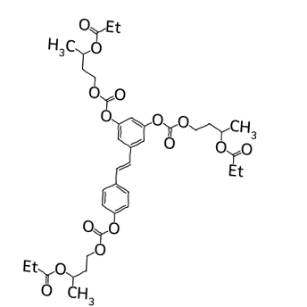 CCC(=O)OC(C)CCOC(=O)Oc1ccc(/C=C/c2cc(OC(=O)OCCC(C)OC(=O)CC)cc(OC(=O)OCCC(C)OC(=O)CC)c2)cc1